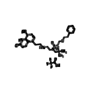 CC(C)(C)CN(CCNCCc1ccc(O)c2[nH]c(=O)ccc12)C(=O)CCOCCc1ccccc1.O=C(O)C(F)(F)F